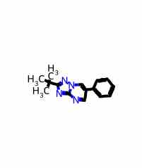 CC(C)(C)c1nc2ncc(-c3ccccc3)cn2n1